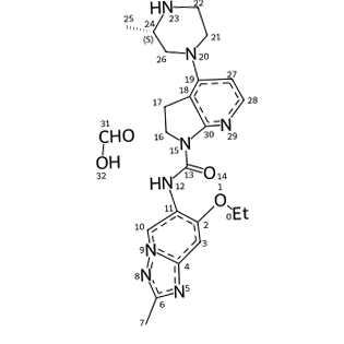 CCOc1cc2nc(C)nn2cc1NC(=O)N1CCc2c(N3CCN[C@@H](C)C3)ccnc21.O=CO